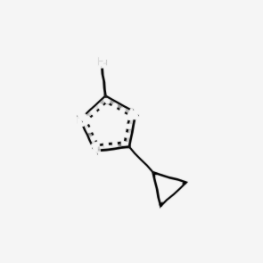 Brc1n[nH]c(C2CC2)n1